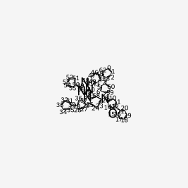 c1ccc(-c2ccc(N(c3ccc4c(c3)oc3ccccc34)c3ccc4c5ccc(-c6ccccc6)cc5n(-c5nc(-c6ccccc6)nc(-c6ccccc6)n5)c4c3)cc2)cc1